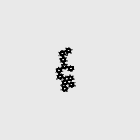 c1ccc(-c2cc(-c3cccc(-c4cccc(-c5nc6ccccc6c6c(-c7ccccc7)c7c(cc56)oc5ccccc57)c4)c3)nc(-c3ccc(-c4cccc5c4oc4ccccc45)cc3)n2)cc1